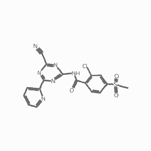 CS(=O)(=O)c1ccc(C(=O)Nc2nc(C#N)nc(-c3ccccn3)n2)c(Cl)c1